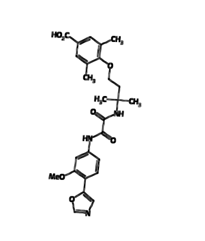 COc1cc(NC(=O)C(=O)NC(C)(C)CCOc2c(C)cc(C(=O)O)cc2C)ccc1-c1cnco1